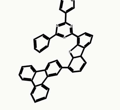 C1=CC2c3cccc(-c4nc(-c5ccccc5)nc(-c5ccccc5)n4)c3SC2C(c2ccc3c4ccccc4c4ccccc4c3c2)=C1